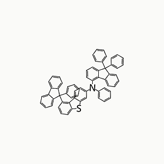 c1ccc(N(c2ccc3c(c2)sc2cccc(C4(c5ccccc5)c5ccccc5-c5ccccc54)c23)c2cccc3c2-c2ccccc2C3(c2ccccc2)c2ccccc2)cc1